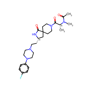 CC(=O)N(C)[C@H](C)C(=O)N1CCC2(CC1)C[C@H](CCN1CCN(c3ccc(F)cc3)CC1)NC2=O